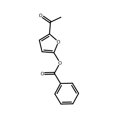 CC(=O)c1ccc(OC(=O)c2ccccc2)o1